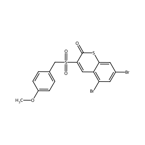 COc1ccc(CS(=O)(=O)c2cc3c(Br)cc(Br)cc3sc2=O)cc1